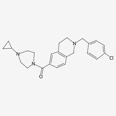 O=C(c1ccc2c(c1)CCN(Cc1ccc(Cl)cc1)C2)N1CCN(C2CC2)CC1